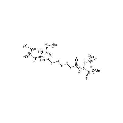 COC(=O)C(NC(=O)CCCCCCNC(=NC(=O)OC(C)(C)C)NC(=O)OC(C)(C)C)O[Si](C)(C)C(C)(C)C